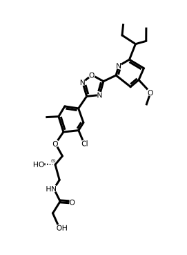 CCC(CC)c1cc(OC)cc(-c2nc(-c3cc(C)c(OC[C@@H](O)CNC(=O)CO)c(Cl)c3)no2)n1